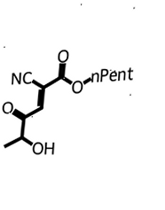 CCCCCOC(=O)C(C#N)=CC(=O)C(C)O